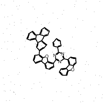 c1ccc(-c2nc(-c3cccc4c3oc3c(-c5ccc6c7ccccc7c7ccccc7c6c5)cccc34)nc(-c3cccc4oc5ccccc5c34)n2)cc1